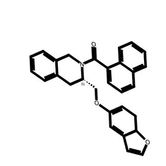 O=C(c1cccc2ccccc12)N1Cc2ccccc2C[C@H]1COC1=CCC2OC=CC2=C1